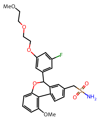 COCCOCCOc1cc(F)cc(C2Oc3cccc(OC)c3-c3ccc(CS(N)(=O)=O)cc32)c1